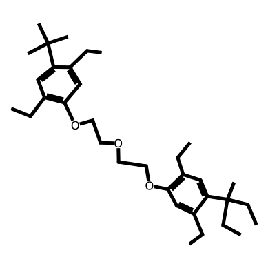 CCc1cc(C(C)(C)C)c(CC)cc1OCCOCCOc1cc(CC)c(C(C)(CC)CC)cc1CC